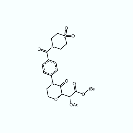 CC(=O)O[C@@H](C(=O)OC(C)(C)C)[C@H]1OCCN(c2ccc(C(=O)N3CCS(=O)(=O)CC3)cc2)C1=O